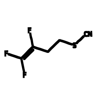 N#CSCCC(F)=C(F)F